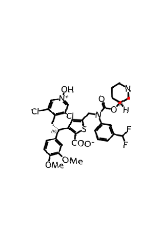 COc1ccc([C@H](Cc2c(Cl)c[n+](O)cc2Cl)c2cc(CN(C(=O)O[C@H]3CN4CCC3CC4)c3cccc(C(F)F)c3)sc2C(=O)[O-])cc1OC